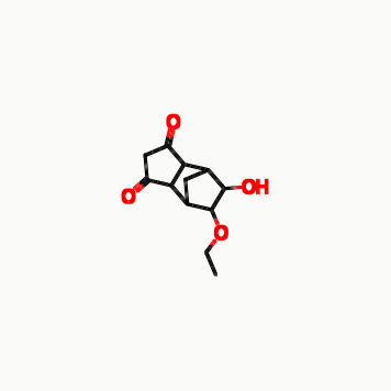 CCOC1C(O)C2CC1C1C(=O)CC(=O)C21